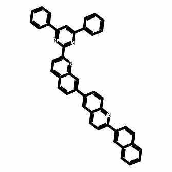 c1ccc(-c2cc(-c3ccccc3)nc(-c3ccc4ccc(-c5ccc6nc(-c7ccc8ccccc8c7)ccc6c5)cc4n3)n2)cc1